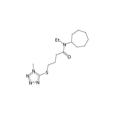 CCN(C(=O)CCCSc1nnnn1C)C1CCCCCC1